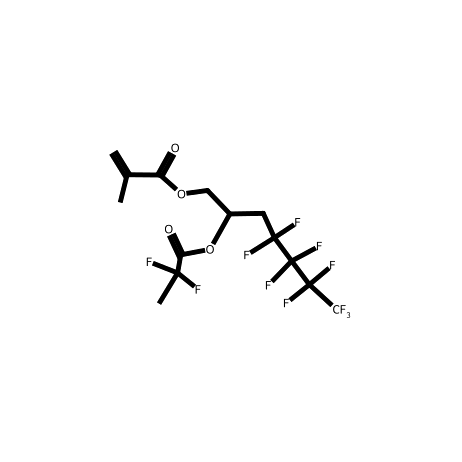 C=C(C)C(=O)OCC(CC(F)(F)C(F)(F)C(F)(F)C(F)(F)F)OC(=O)C(C)(F)F